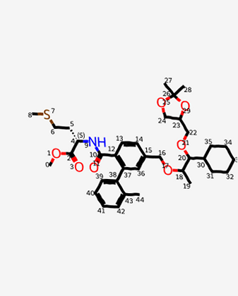 COC(=O)[C@H](CCSC)NC(=O)c1ccc(COC(C)C(OCC2COC(C)(C)O2)C2CCCCC2)cc1-c1ccccc1C